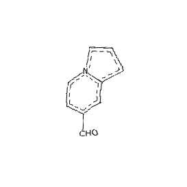 O=Cc1ccn2cccc2c1